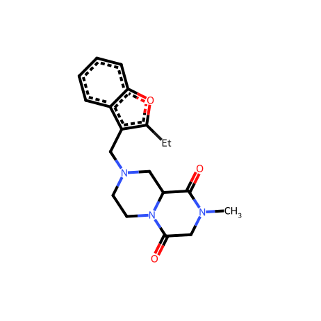 CCc1oc2ccccc2c1CN1CCN2C(=O)CN(C)C(=O)C2C1